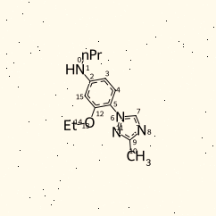 CCCNc1ccc(-n2cnc(C)n2)c(OCC)c1